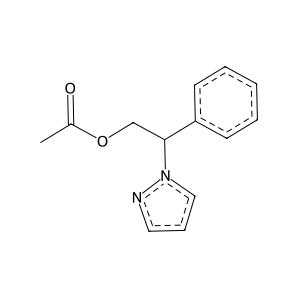 CC(=O)OCC(c1ccccc1)n1cccn1